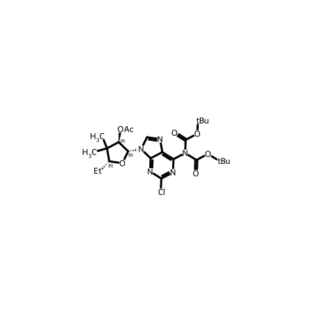 CC[C@H]1O[C@@H](n2cnc3c(N(C(=O)OC(C)(C)C)C(=O)OC(C)(C)C)nc(Cl)nc32)[C@H](OC(C)=O)C1(C)C